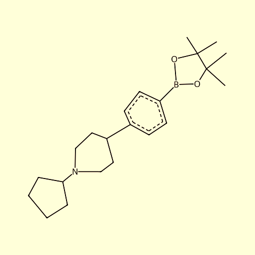 CC1(C)OB(c2ccc(C3CCN(C4CCCC4)CC3)cc2)OC1(C)C